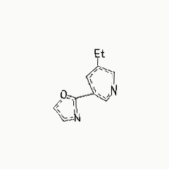 CCc1cncc(-c2ncco2)c1